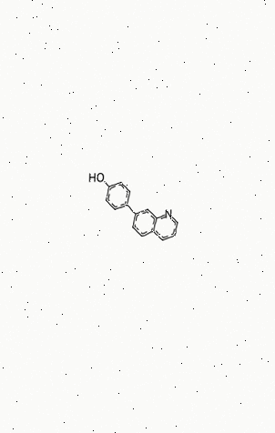 Oc1ccc(-c2ccc3cccnc3c2)cc1